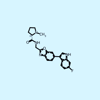 CN1CCC[C@H]1C(=O)NCc1nc2ccc(-c3c[nH]c4cc(F)ccc34)cc2o1